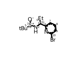 CC[C@H](N[S@+]([O-])C(C)(C)C)c1cccc(Br)n1